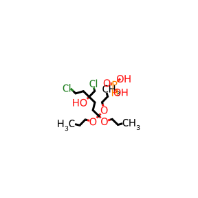 CCCOC(CCC(O)(CCl)CCCl)(OCCC)OCCC.O=[PH](O)O